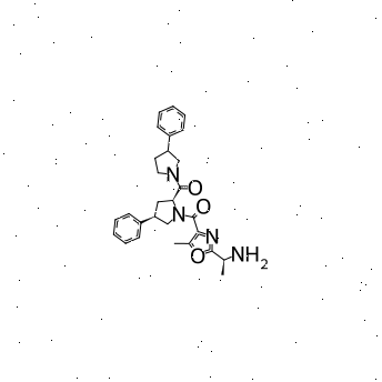 Cc1oc([C@H](C)N)nc1C(=O)N1C[C@@H](c2ccccc2)C[C@H]1C(=O)N1CCC(c2ccccc2)C1